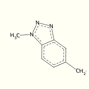 [CH2]c1ccc2c(c1)nnn2C